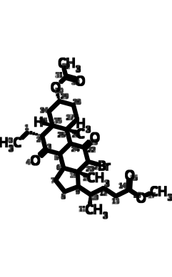 CC[C@H]1C(=O)C2C3CCC([C@H](C)CCC(=O)OC)[C@@]3(C)C(Br)C(=O)C2[C@@]2(C)CC[C@@H](OC(C)=O)C[C@@H]12